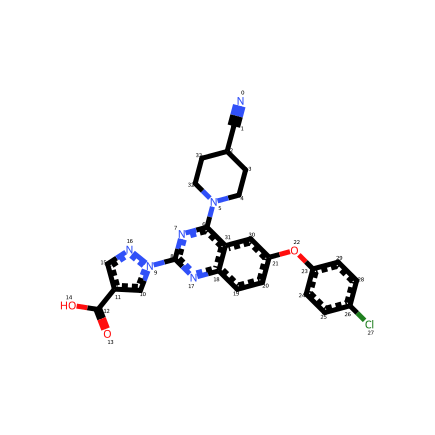 N#CC1CCN(c2nc(-n3cc(C(=O)O)cn3)nc3ccc(Oc4ccc(Cl)cc4)cc23)CC1